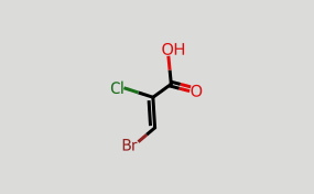 O=C(O)C(Cl)=CBr